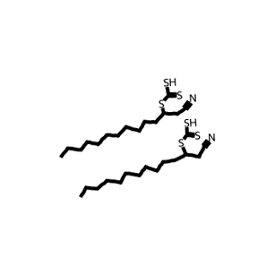 CCCCCCCCCCCC(CC#N)SC(=S)S.CCCCCCCCCCCC(CC#N)SC(=S)S